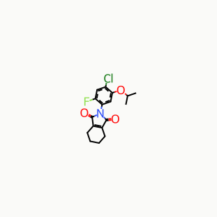 CC(C)Oc1cc(N2C(=O)C3=C(CCCC3)C2=O)c(F)cc1Cl